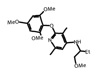 CCC(COC)Nc1cc(C)nc(Oc2c(OC)cc(OC)cc2OC)c1C